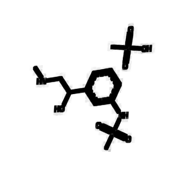 CNCC(O)c1cccc(NS(C)(=O)=O)c1.CS(=O)(=O)O